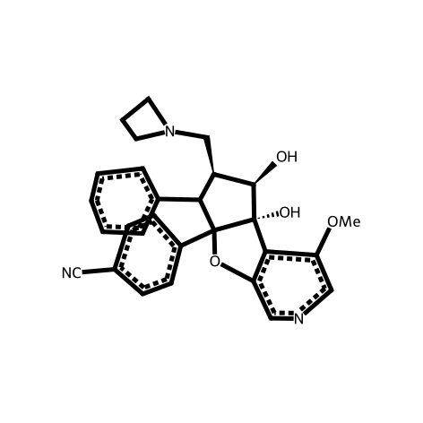 COc1cncc2c1[C@]1(O)[C@H](O)[C@H](CN3CCC3)C(c3ccccc3)C1(c1ccc(C#N)cc1)O2